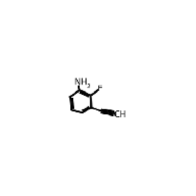 C#Cc1cccc(N)c1F